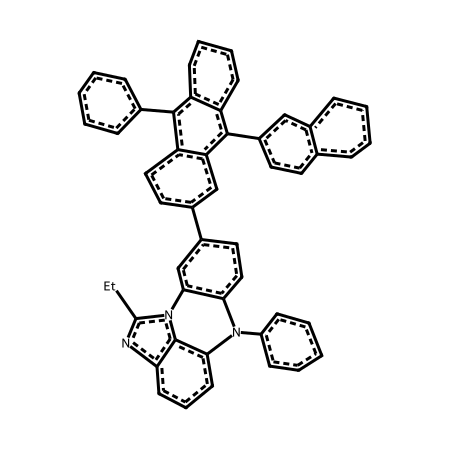 CCc1nc2cccc3c2n1-c1cc(-c2ccc4c(-c5ccccc5)c5ccccc5c(-c5ccc6ccccc6c5)c4c2)ccc1N3c1ccccc1